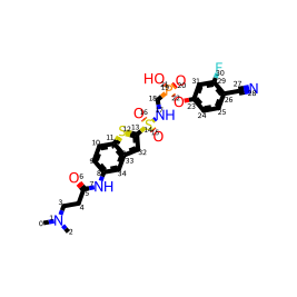 CN(C)CCC(=O)Nc1ccc2sc(S(=O)(=O)NCP(=O)(O)Oc3ccc(C#N)c(F)c3)cc2c1